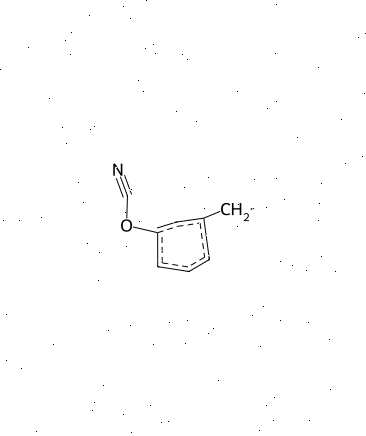 [CH2]c1cccc(OC#N)c1